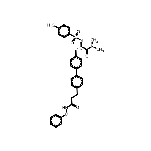 Cc1ccc(S(=O)(=O)N[C@@H](Cc2ccc(-c3ccc(CCC(=O)NOc4ccccc4)cc3)cc2)C(=O)N(C)C)cc1